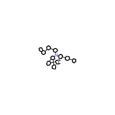 c1ccc(-c2ccc(-c3ccc(N(c4cccc(-c5cccc(-c6cccc7ccccc67)c5)c4)c4ccc5c(c4)C(c4ccccc4)(c4ccccc4)c4ccccc4-5)cc3)cc2)cc1